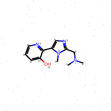 CN(C)Cc1ncc(-c2ncccc2O)n1C